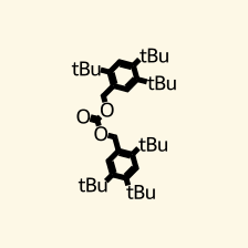 CC(C)(C)c1cc(C(C)(C)C)c(C(C)(C)C)cc1COC(=O)OCc1cc(C(C)(C)C)c(C(C)(C)C)cc1C(C)(C)C